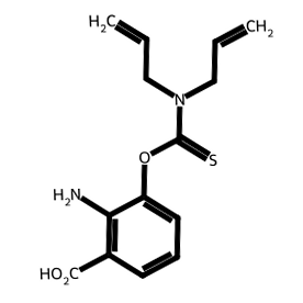 C=CCN(CC=C)C(=S)Oc1cccc(C(=O)O)c1N